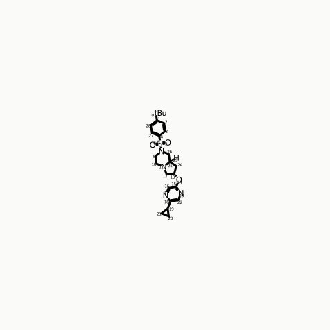 CC(C)(C)c1ccc(S(=O)(=O)N2CCN3C[C@H](Oc4cnc(C5CC5)cn4)C[C@H]3C2)cc1